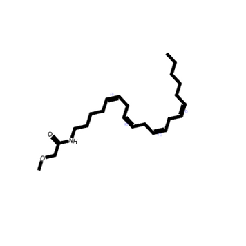 CCCCC/C=C\C/C=C\C/C=C\C/C=C\CCCCNC(=O)COC